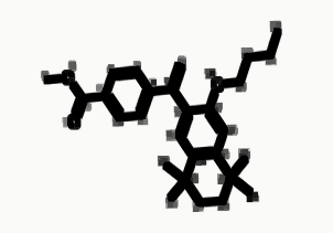 C=C(c1ccc(C(=O)OC)cc1)c1cc2c(cc1OCCCC)C(C)(C)CCC2(C)C